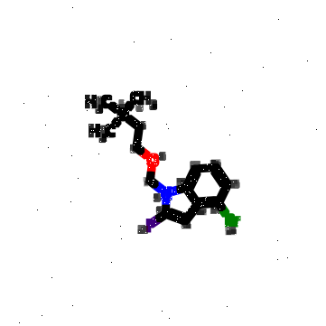 C[Si](C)(C)CCOCn1c(I)cc2c(Br)cccc21